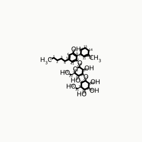 CCCCCc1cc(O)c([C@@H]2C=C(C)CCC2)c(O[C@@H]2O[C@H](CO)[C@@H](O)[C@H](O[C@@H]3C[C@H](CO)[C@@H](O)[C@H](O)[C@H]3O)[C@H]2O)c1